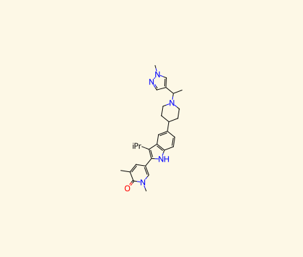 Cc1cc(-c2[nH]c3ccc(C4CCN(C(C)c5cnn(C)c5)CC4)cc3c2C(C)C)cn(C)c1=O